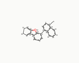 Cc1ccc(-c2cccc3c4c(oc23)=CCCC=4)c2ccccc12